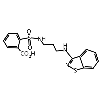 O=C(O)c1ccccc1S(=O)(=O)NCCCNc1nsc2ccccc12